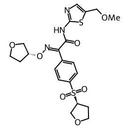 COCc1cnc(NC(=O)/C(=N/O[C@@H]2CCOC2)c2ccc(S(=O)(=O)[C@H]3CCOC3)cc2)s1